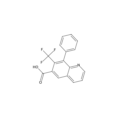 O=C(O)c1cc2cccnc2c(-c2ccccc2)c1C(F)(F)F